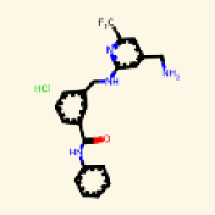 Cl.NCc1cc(NCc2cccc(C(=O)Nc3ccccc3)c2)nc(C(F)(F)F)c1